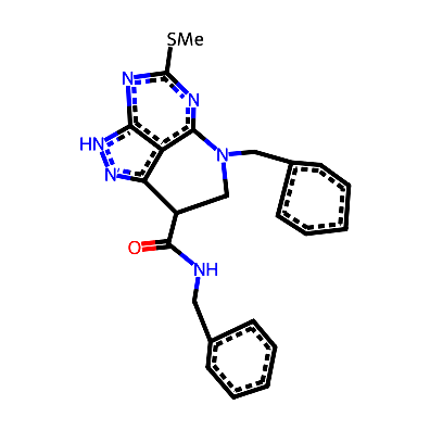 CSc1nc2c3c(n[nH]c3n1)C(C(=O)NCc1ccccc1)CN2Cc1ccccc1